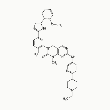 CCN1CCC(c2ccc(Nc3ncc4c(n3)N(C)C(=O)N(c3cc(-c5ncc(C6=C(OC)C=CCC6)[nH]5)ccc3C)C4)cn2)CC1